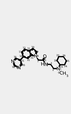 CN(CCNC(=O)Cn1ccc2ccc(-c3cncnc3)cc21)C1CCCCC1